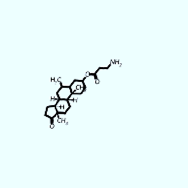 CC1C[C@@H]2[C@@H](CC[C@]3(C)C(=O)CC[C@@H]23)[C@@]2(C)CCC(OC(=O)CCN)CC12